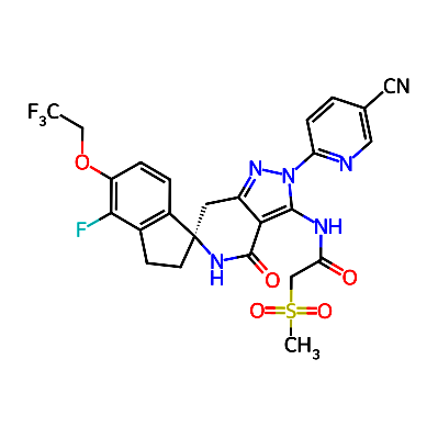 CS(=O)(=O)CC(=O)Nc1c2c(nn1-c1ccc(C#N)cn1)C[C@@]1(CCc3c1ccc(OCC(F)(F)F)c3F)NC2=O